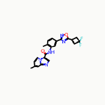 Cc1ccn2c(C(=O)Nc3cc(-c4noc(C5CC(F)(F)C5)n4)ccc3C)cnc2c1